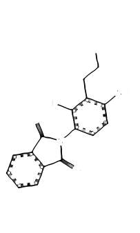 Nc1ccc(N2C(=O)c3ccccc3C2=O)c(F)c1CCO